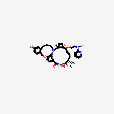 C[C@@H]1[C@@H](C)C/C=C/C(OCCN(C)c2ccccn2)[C@@H]2CC[C@H]2CN2CCCCc3cc(Cl)ccc3COc3ccc(cc32)C(=O)NS1(=O)=O